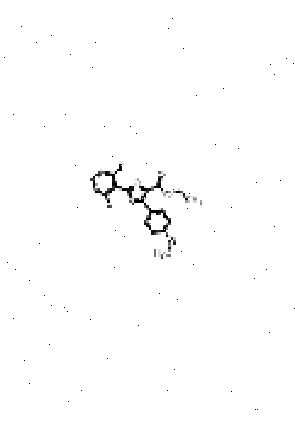 CCOC(=O)c1oc(-c2c(F)cccc2F)nc1-c1ccc(OC)cc1